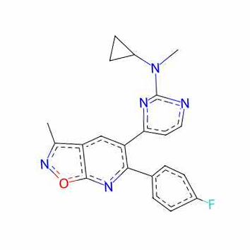 Cc1noc2nc(-c3ccc(F)cc3)c(-c3ccnc(N(C)C4CC4)n3)cc12